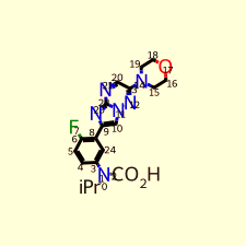 CC(C)N(C(=O)O)c1ccc(F)c(-c2cn3nc(N4CCOCC4)cnc3n2)c1